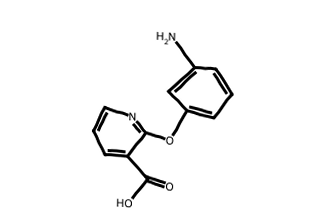 Nc1cccc(Oc2ncccc2C(=O)O)c1